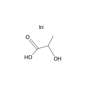 CC(O)C(=O)O.[In]